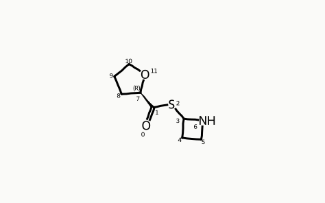 O=C(SC1CCN1)[C@H]1CCCO1